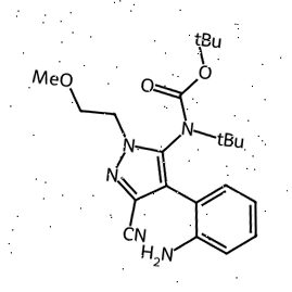 COCCn1nc(C#N)c(-c2ccccc2N)c1N(C(=O)OC(C)(C)C)C(C)(C)C